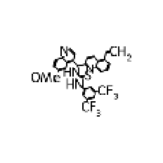 C=Cc1cccc2nc([C@@H](NC(=S)Nc3cc(C(F)(F)F)cc(C(F)(F)F)c3)c3ccnc4ccc(OC)cc34)ccc12